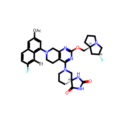 CCc1c(F)ccc2cc(OC(C)=O)cc(N3CCc4c(nc(OC[C@@]56CCCN5C[C@H](F)C6)nc4N4CCC[C@]5(C4)NC(=O)NC5=O)C3)c12